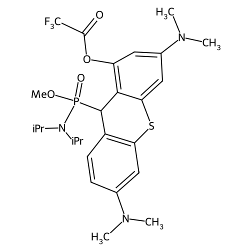 COP(=O)(C1c2ccc(N(C)C)cc2Sc2cc(N(C)C)cc(OC(=O)C(F)(F)F)c21)N(C(C)C)C(C)C